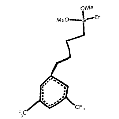 CC[Si](CCCCc1cc(C(F)(F)F)cc(C(F)(F)F)c1)(OC)OC